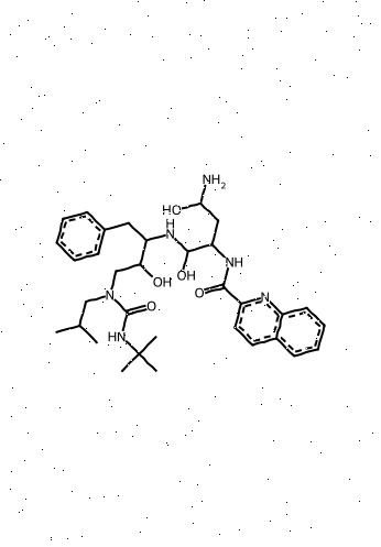 CC(C)CN(CC(O)C(Cc1ccccc1)NC(O)C(CC(N)O)NC(=O)c1ccc2ccccc2n1)C(=O)NC(C)(C)C